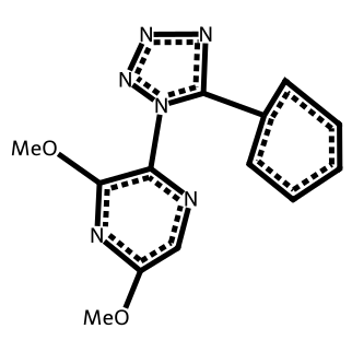 COc1cnc(-n2nnnc2-c2ccccc2)c(OC)n1